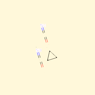 C1CC1.N=C=O.N=C=O